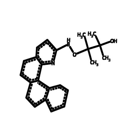 CC(C)(O)C(C)(C)OBc1ccc2ccc3ccc4ccccc4c3c2n1